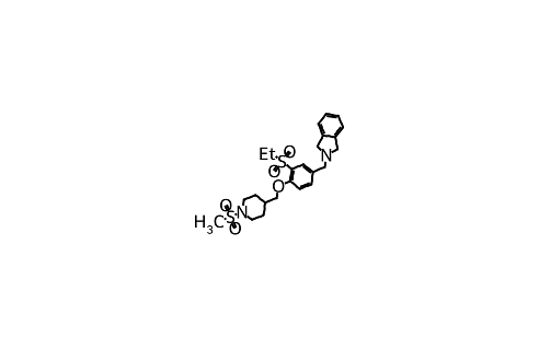 CCS(=O)(=O)c1cc(CN2Cc3ccccc3C2)ccc1OCC1CCN(S(C)(=O)=O)CC1